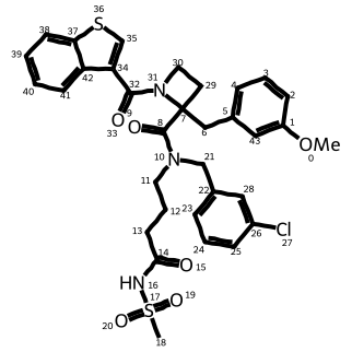 COc1cccc(CC2(C(=O)N(CCCC(=O)NS(C)(=O)=O)Cc3cccc(Cl)c3)CCN2C(=O)c2csc3ccccc23)c1